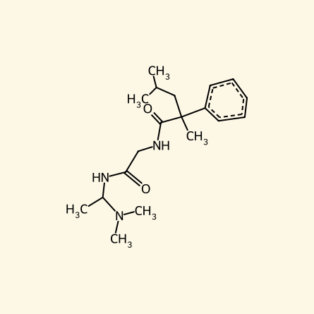 CC(C)CC(C)(C(=O)NCC(=O)NC(C)N(C)C)c1ccccc1